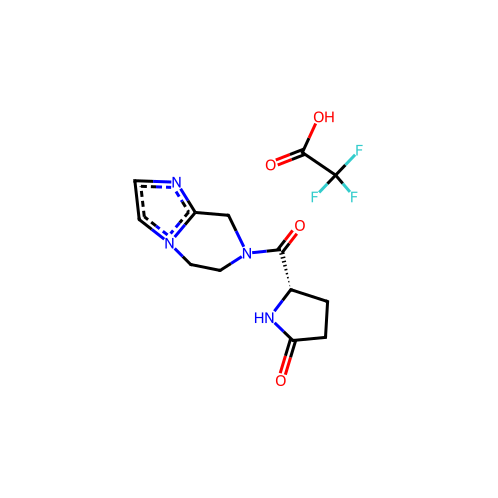 O=C(O)C(F)(F)F.O=C1CC[C@@H](C(=O)N2CCn3ccnc3C2)N1